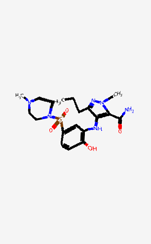 CCCc1nn(C)c(C(N)=O)c1Nc1cc(S(=O)(=O)N2CCN(C)CC2)ccc1O